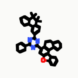 CC1(C)c2ccccc2-c2cc(-c3nc(-c4ccccc4)nc(-c4cc5oc6ccccc6c5c5c4ccc4ccccc45)n3)ccc2C1(C)C